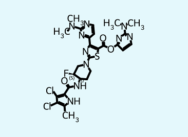 Cc1[nH]c(C(=O)N[C@@H]2CCN(c3nc(-c4ccnc(N(C)C)n4)c(C(=O)Oc4ccnc(N(C)C)n4)s3)C[C@@H]2F)c(Cl)c1Cl